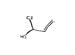 [CH]=CC(O)Cl